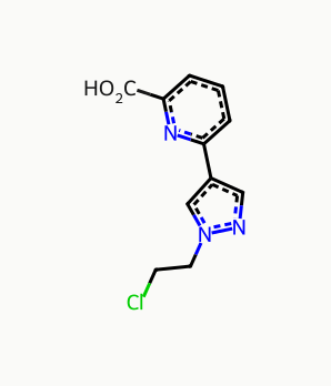 O=C(O)c1cccc(-c2cnn(CCCl)c2)n1